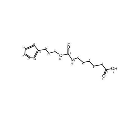 O=C(O)CCCCCNC(=O)OCCCc1ccccc1